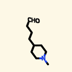 CN1CCC(CCCC=O)CC1